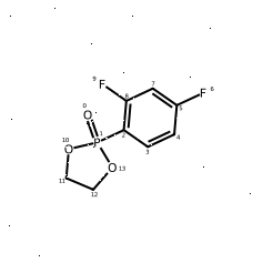 O=P1(c2ccc(F)cc2F)OCCO1